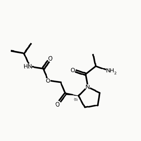 CC(C)NC(=O)OCC(=O)[C@@H]1CCCN1C(=O)C(C)N